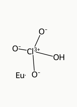 [Eu].[O-][Cl+3]([O-])([O-])O